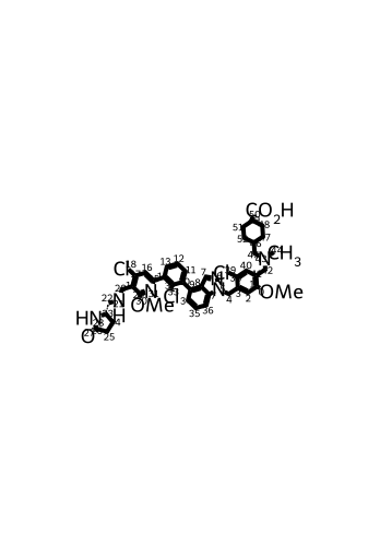 COc1cc(Cn2ncc3c(-c4cccc(-c5cc(Cl)c(CNC[C@@H]6CCC(=O)N6)c(OC)n5)c4Cl)cccc32)c(Cl)cc1CN(C)CC1CCC(C(=O)O)CC1